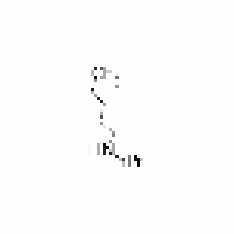 CCCNCCCCC(F)(F)F